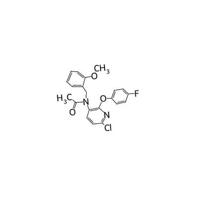 COc1ccccc1CN(C(C)=O)c1ccc(Cl)nc1Oc1ccc(F)cc1